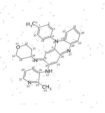 Cc1ccc(-n2c3cc(=NC4CCOCC4)c(Nc4cccnc4C)cc-3nc3ccccc32)cc1